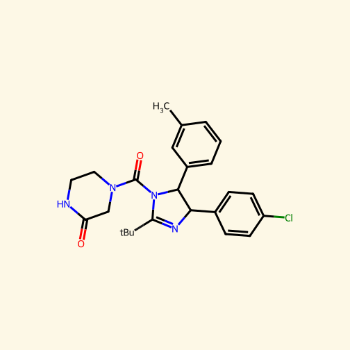 Cc1cccc(C2C(c3ccc(Cl)cc3)N=C(C(C)(C)C)N2C(=O)N2CCNC(=O)C2)c1